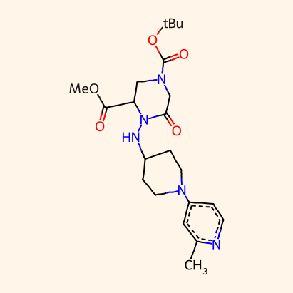 COC(=O)C1CN(C(=O)OC(C)(C)C)CC(=O)N1NC1CCN(c2ccnc(C)c2)CC1